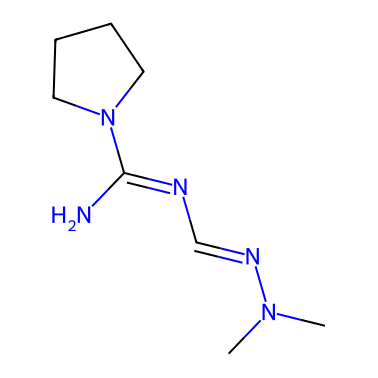 CN(C)N=CN=C(N)N1CCCC1